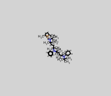 C[C@@H]1CC[C@@H](C)P1CN(C(C)(C)C)C(C)(C)CCC(C)(C)N(c1ccccc1)C(C)(C)CCC(C)(C)N(C1CCCCC1)C(C)(C)C